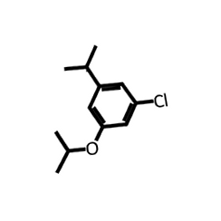 C[C](C)c1cc(Cl)cc(OC(C)C)c1